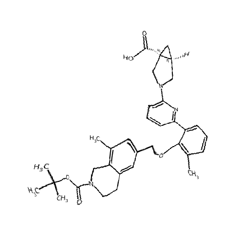 Cc1cc(COc2c(C)cccc2-c2cccc(N3C[C@@H]4C[C@]4(C(=O)O)C3)n2)cc2c1CN(C(=O)OC(C)(C)C)CC2